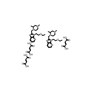 CCOCCn1c(CN2CCN(C)CC2C)nc2cccnc21.CCOCCn1c(CN2CCN(C)CC2C)nc2cccnc21.O=C(O)C=CC(=O)O.O=C(O)C=CC(=O)O.O=C(O)C=CC(=O)O